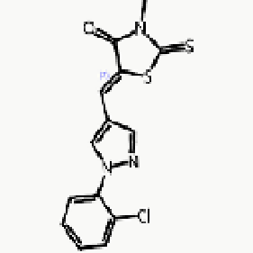 CN1C(=O)/C(=C/c2cnn(-c3ccccc3Cl)c2)SC1=S